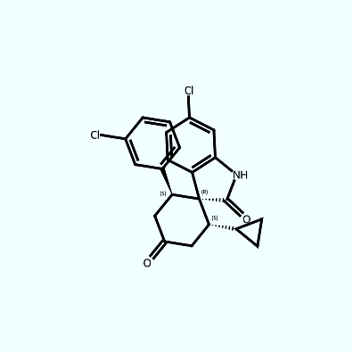 O=C1C[C@@H](c2cccc(Cl)c2)[C@]2(C(=O)Nc3cc(Cl)ccc32)[C@H](C2CC2)C1